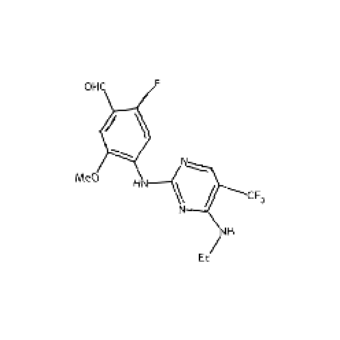 CCNc1nc(Nc2cc(F)c(C=O)cc2OC)ncc1C(F)(F)F